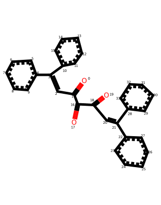 O=C(C=C(c1ccccc1)c1ccccc1)C(=O)C(=O)C=C(c1ccccc1)c1ccccc1